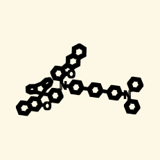 c1ccc(N(c2ccccc2)c2ccc(-c3ccc(-c4ccc(N(c5ccc6c(c5)C5(c7cc8ccccc8cc7O6)c6ccccc6-c6ccccc65)c5cccc6c5oc5cc7ccccc7cc56)cc4)cc3)cc2)cc1